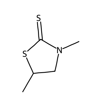 CC1CN(C)C(=S)S1